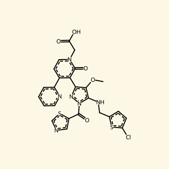 COc1c(-c2c(-c3ccccn3)ccn(CC(=O)O)c2=O)nn(C(=O)c2cncs2)c1NCc1ccc(Cl)s1